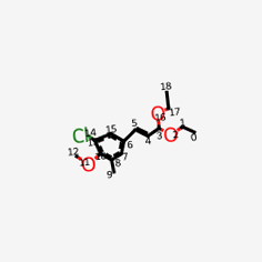 CCOC(/C=C/c1cc(C)c(OC)c(Cl)c1)OCC